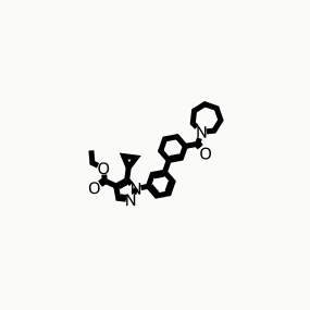 CCOC(=O)c1cnn(-c2cccc(C3=CC(C(=O)N4CCCCCC4)CCC3)c2)c1C1CC1